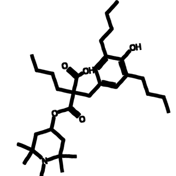 CCCCc1cc(CC(CCCC)(C(=O)O)C(=O)OC2CC(C)(C)N(C)C(C)(C)C2)cc(CCCC)c1O